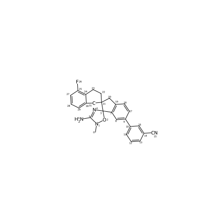 CN1OC2(N=C1N)c1cc(-c3cccc(C#N)c3)ccc1CC21CCc2c(F)cccc2C1